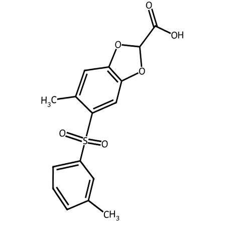 Cc1cccc(S(=O)(=O)c2cc3c(cc2C)OC(C(=O)O)O3)c1